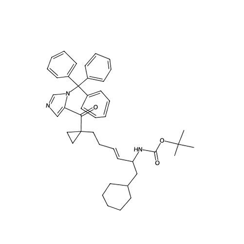 CC(C)(C)OC(=O)NC(C=CCCC1(C(=O)c2cncn2C(c2ccccc2)(c2ccccc2)c2ccccc2)CC1)CC1CCCCC1